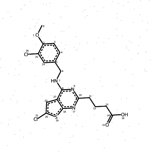 COc1ccc(CNc2nc(CCCC(=O)O)nc3sc(Cl)cc23)cc1Cl